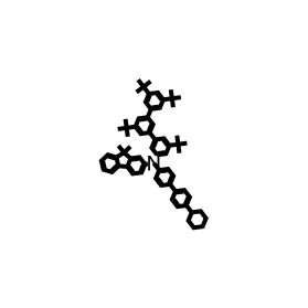 CC(C)(C)c1cc(-c2cc(N(c3ccc(-c4ccc(C5CCCCC5)cc4)cc3)c3ccc4c(c3)C(C)(C)c3ccccc3-4)cc(C(C)(C)C)c2)cc(-c2cc(C(C)(C)C)cc(C(C)(C)C)c2)c1